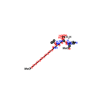 CCCCc1nc2c(NC(=O)OCc3ccc(O[C@@H]4O[C@H](C(=O)O)[C@@H](O)[C@H](O)[C@H]4O)c(NC(=O)CCNC(=O)[C@H](CCCCNC(=O)CCOCCOCCOCCOCCOCCOCCOCCOCCOCCOCCOCCOC)NC(=O)OCC4c5ccccc5-c5ccccc54)c3)nc3cc(C(=O)OC)ccc3c2n1Cc1ccc(CN(C)C)cc1